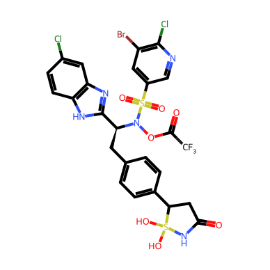 O=C1CC(c2ccc(C[C@@H](c3nc4cc(Cl)ccc4[nH]3)N(OC(=O)C(F)(F)F)S(=O)(=O)c3cnc(Cl)c(Br)c3)cc2)S(O)(O)N1